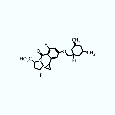 C=C1CC(C)CC(CC)(COc2cc(F)c(C(=O)N3C[C@H](F)C[C@H]3C(=O)O)c(C3CC3)c2)C1